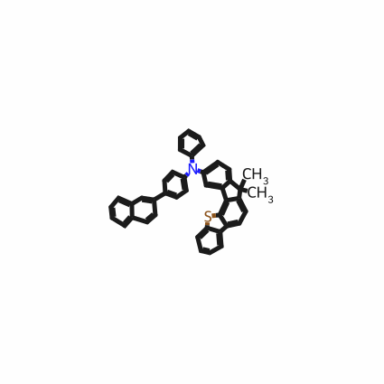 CC1(C)c2ccc(N(c3ccccc3)c3ccc(-c4ccc5ccccc5c4)cc3)cc2-c2c1ccc1c2sc2ccccc21